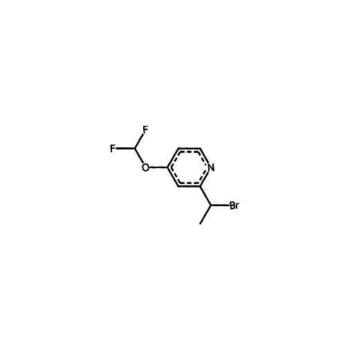 CC(Br)c1cc(OC(F)F)ccn1